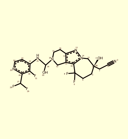 N#CC[C@]1(O)CCC(F)(F)c2c3c(nn2C1)CCN(C(O)Nc1ccnc(C(F)F)c1F)C3